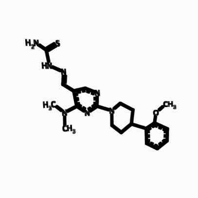 COc1ccccc1C1CCN(c2ncc(C=NNC(N)=S)c(N(C)C)n2)CC1